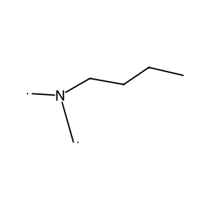 [CH2]N([CH2])CCCC